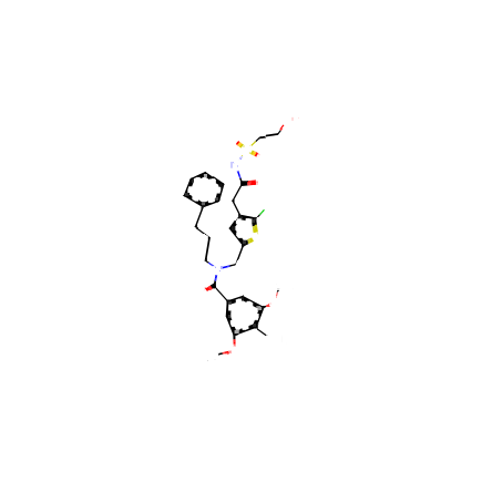 COc1cc(C(=O)N(CCCc2ccccc2)Cc2cc(CC(=O)NS(=O)(=O)CCO)c(Cl)s2)cc(OC)c1C